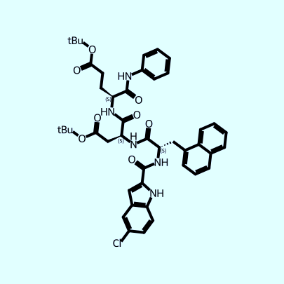 CC(C)(C)OC(=O)CC[C@H](NC(=O)[C@H](CC(=O)OC(C)(C)C)NC(=O)[C@H](Cc1cccc2ccccc12)NC(=O)c1cc2cc(Cl)ccc2[nH]1)C(=O)Nc1ccccc1